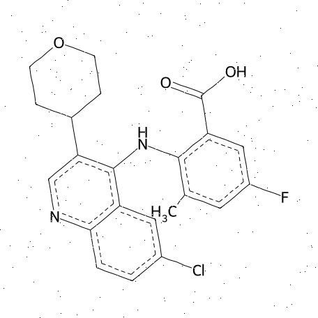 Cc1cc(F)cc(C(=O)O)c1Nc1c(C2CCOCC2)cnc2ccc(Cl)cc12